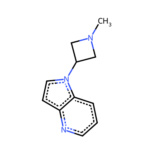 CN1CC(n2ccc3ncccc32)C1